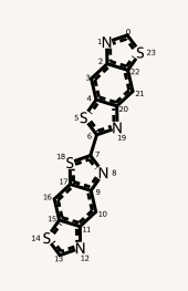 c1nc2cc3sc(-c4nc5cc6ncsc6cc5s4)nc3cc2s1